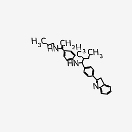 C=C(NCCC)c1ccc(NC(c2ccc(C3=Nc4ccccc4C3)cc2)C(C)CC)cc1